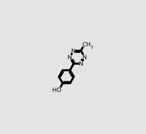 Cc1nnc(-c2ccc(O)cc2)nn1